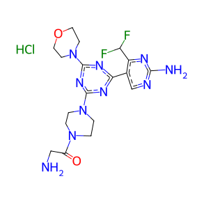 Cl.NCC(=O)N1CCN(c2nc(-c3cnc(N)nc3C(F)F)nc(N3CCOCC3)n2)CC1